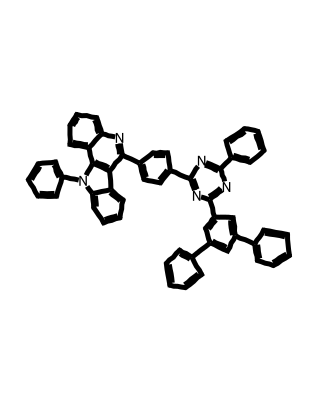 c1ccc(-c2cc(-c3ccccc3)cc(-c3nc(-c4ccccc4)nc(-c4ccc(-c5nc6ccccc6c6c5c5ccccc5n6-c5ccccc5)cc4)n3)c2)cc1